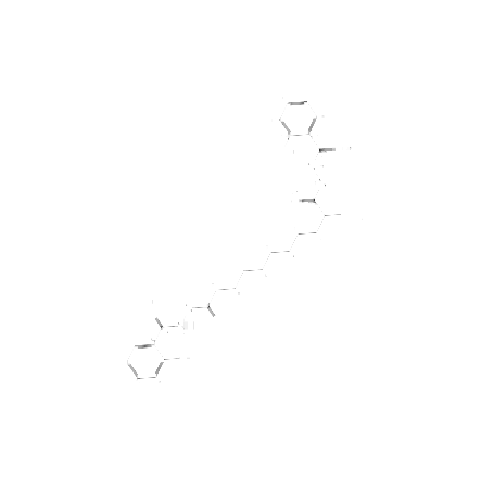 CC(CCCCCCCCC(=O)NNC(=O)c1ccccc1O)C(=O)NNC(=O)c1ccccc1O